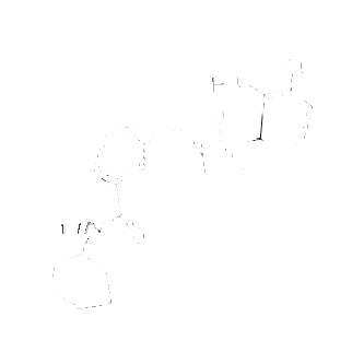 Cc1c(Cl)cccc1S(=O)(=O)NCc1cccc(C(=O)NC2CCCCC2)c1